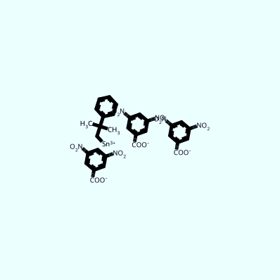 CC(C)([CH2][Sn+3])c1ccccc1.O=C([O-])c1cc([N+](=O)[O-])cc([N+](=O)[O-])c1.O=C([O-])c1cc([N+](=O)[O-])cc([N+](=O)[O-])c1.O=C([O-])c1cc([N+](=O)[O-])cc([N+](=O)[O-])c1